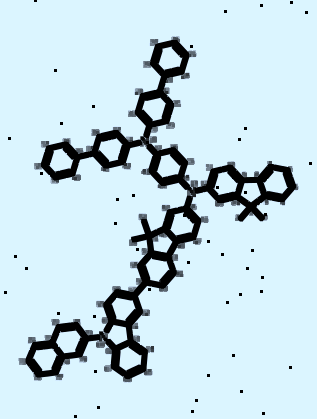 CC1(C)c2ccccc2-c2ccc(N(c3ccc(N(c4ccc(-c5ccccc5)cc4)c4ccc(-c5ccccc5)cc4)cc3)c3ccc4c(c3)C(C)(C)c3cc(-c5ccc6c(c5)c5ccccc5n6-c5ccc6ccccc6c5)ccc3-4)cc21